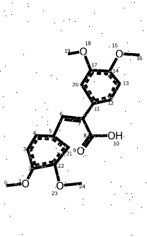 COc1ccc(C=C(C(=O)O)c2ccc(OC)c(OC)c2)cc1OC